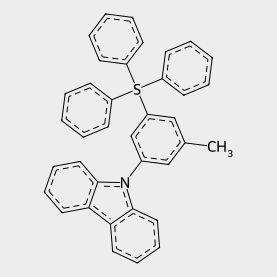 Cc1cc(-n2c3ccccc3c3ccccc32)cc(S(c2ccccc2)(c2ccccc2)c2ccccc2)c1